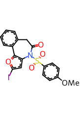 COc1ccc(S(=O)(=O)N2C(=O)Cc3ccccc3-c3oc(I)cc32)cc1